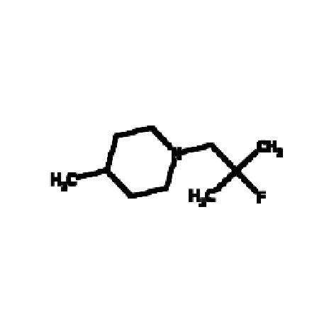 CC1CCN(CC(C)(C)F)CC1